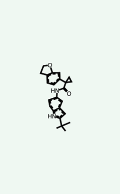 CC(C)(C)c1cc2cc(NC(=O)C3(c4ccc5c(c4)OCC5)CC3)ccc2[nH]1